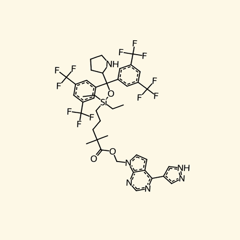 CC[Si](CC)(CCCC(C)(C)C(=O)OCn1ccc2c(-c3cn[nH]c3)ncnc21)OC(c1cc(C(F)(F)F)cc(C(F)(F)F)c1)(c1cc(C(F)(F)F)cc(C(F)(F)F)c1)C1CCCN1